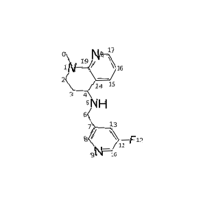 CN1CCC(NCc2cncc(F)c2)c2cccnc21